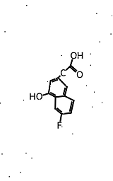 O=C(O)Cc1cc(O)c2cc(F)ccc2c1